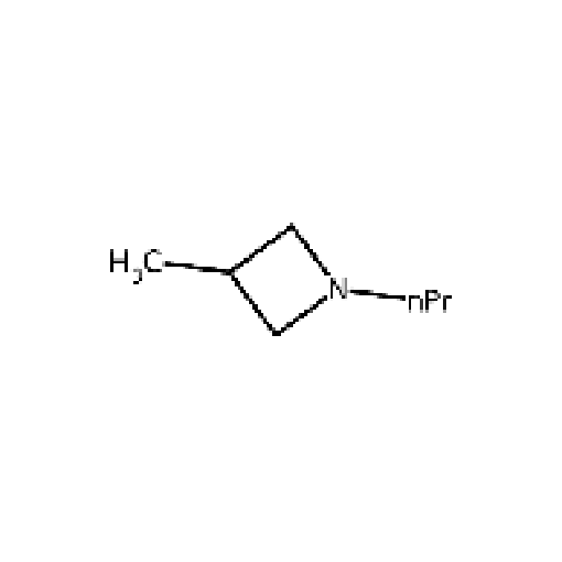 CCCN1CC(C)C1